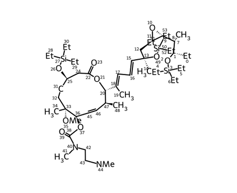 CC[C@H](O[Si](CC)(CC)CC)[C@@H](C)[C@H]1O[C@@H]1C[C@](C)(/C=C/C=C(\C)[C@H]1OC(=O)C[C@H](O[Si](CC)(CC)CC)CC[C@@](C)(OC)[C@H](OC(=O)N(C)CCNC)/C=C/[C@@H]1C)O[Si](CC)(CC)CC